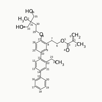 C=C(C)C(=O)OCCc1cc(-c2ccc(-c3ccccc3)cc2CC)ccc1OCCC(C)(CO)CO